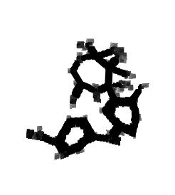 COc1ccc(Nc2ccc(F)c([C@@]3(C)NC(=O)COC(C)(C)C3(F)F)c2)cn1